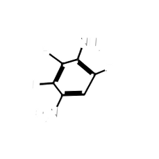 Nc1c(F)cc([N+](=O)[O-])c(F)c1F